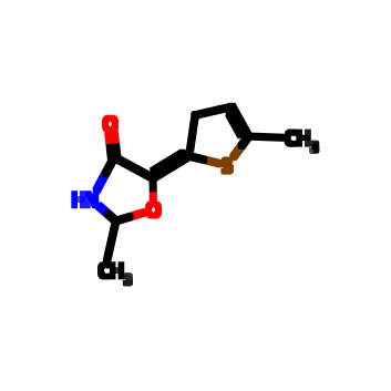 CC1=CCC(=C2OC(C)NC2=O)S1